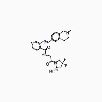 CN1CCc2cc(/C=C/c3cnccc3C(=O)NCC(=O)N3CC(F)(F)C[C@H]3C#N)ccc2C1